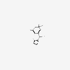 Cc1ccsc1C(O)C1=CC(C)(C(=O)O)CC(C(=O)O)=C1